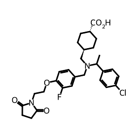 CC(c1ccc(Cl)cc1)N(Cc1ccc(OCCN2C(=O)CCC2=O)c(F)c1)C[C@H]1CC[C@H](C(=O)O)CC1